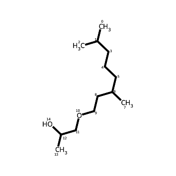 CC(C)CCCC(C)CCOCC(C)O